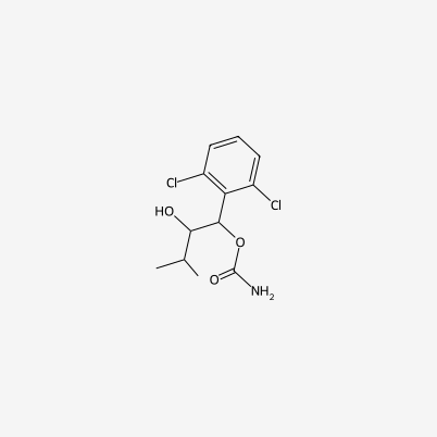 CC(C)C(O)C(OC(N)=O)c1c(Cl)cccc1Cl